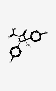 C[C@@]1(c2ccc(Br)cc2)C(=O)N(C(=O)O)[C@@H]1c1ccc(Cl)cc1